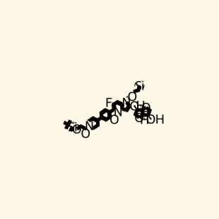 COc1cc(C2=CCN(C(=O)CO[Si](C)(C)C(C)(C)C)CC2)ccc1-c1nc2cc(O[C@@H]3CO[C@H]4[C@@H]3OC[C@H]4O)n(COCC[Si](C)(C)C)c2cc1F